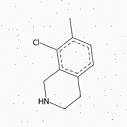 Cc1ccc2c(c1Cl)CNCC2